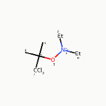 CC[N+](CC)OC(C)(C)C(Cl)(Cl)Cl